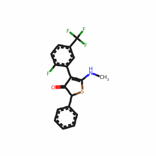 CNC1=C(c2cc(C(F)(F)F)ccc2F)C(=O)C(c2ccccc2)S1